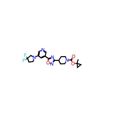 CC1(OC(=O)N2CCC(c3noc(-c4cncc(N5CCC(F)(F)C5)c4)n3)CC2)CC1